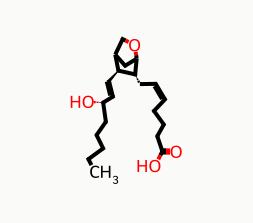 CCCCC[C@H](O)/C=C/[C@H]1C2COC(C2)[C@@H]1C/C=C\CCCC(=O)O